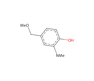 CNc1cc(COC)ccc1O